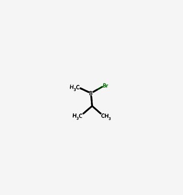 CB(Br)C(C)C